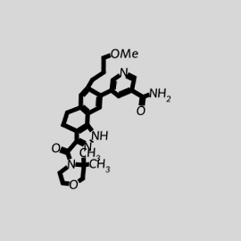 COCCCc1cc2c(cc1-c1cncc(C(N)=O)c1)-c1[nH]nc(C(=O)N3CCOCC3(C)C)c1CC2